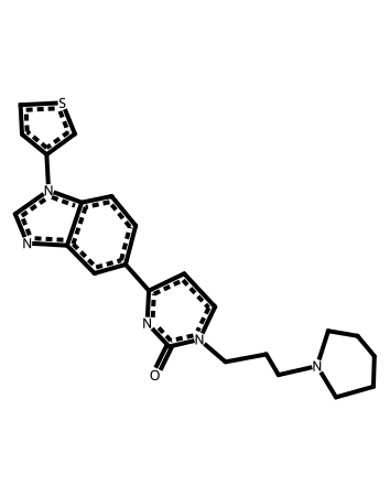 O=c1nc(-c2ccc3c(c2)ncn3-c2ccsc2)ccn1CCCN1CCCCC1